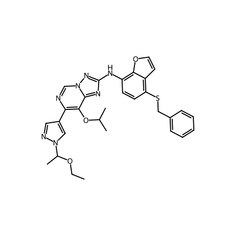 CCOC(C)n1cc(-c2ncn3nc(Nc4ccc(SCc5ccccc5)c5ccoc45)nc3c2OC(C)C)cn1